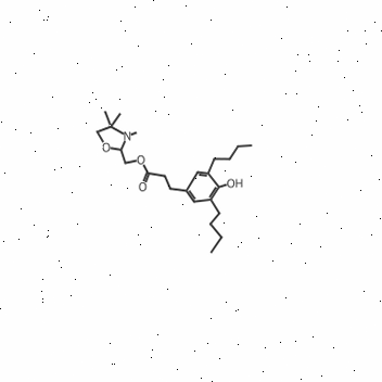 CCCCc1cc(CCC(=O)OCC2OCC(C)(C)N2C)cc(CCCC)c1O